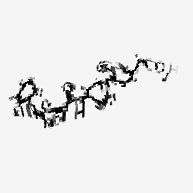 O=C(O)Cc1ccc(N2CCC(NC(=O)c3nnc(Nc4ccccc4F)o3)CC2)[n+]([O-])c1